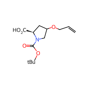 C=CCOC1C[C@H](C(=O)O)N(C(=O)OC(C)(C)C)C1